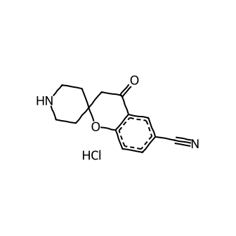 Cl.N#Cc1ccc2c(c1)C(=O)CC1(CCNCC1)O2